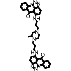 CC1CN(CCCNc2ccc3nnn4c5ccccc5c(=O)c2c34)CCN1CCCNc1ccc2nnn3c4ccccc4c(=O)c1c23